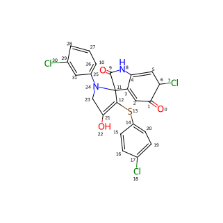 O=C1C=C2C(=CC1Cl)NC(=O)C21C(Sc2ccc(Cl)cc2)=C(O)CN1c1cccc(Cl)c1